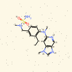 CCc1cc(CN(C)S(N)(=O)=O)ccc1N(C)c1cc2c(cn1)ncn2C